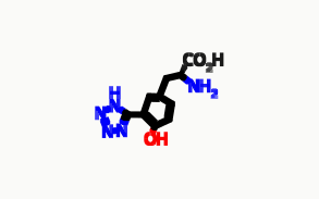 N[C@@H](Cc1ccc(O)c(-c2nnn[nH]2)c1)C(=O)O